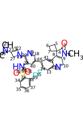 CN1C(=O)C2(CCC2)c2c1cnc1cc(F)c(-c3cnc(N4CC(N(C)C)C4)c(NS(=O)(=O)c4ccccc4F)c3)cc21